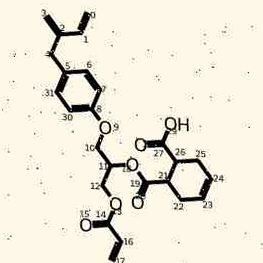 C=CC(=C)Cc1ccc(OCC(COC(=O)C=C)OC(=O)C2CC=CCC2C(=O)O)cc1